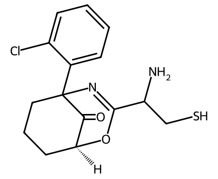 NC(CS)C1=NC2(c3ccccc3Cl)CCC[C@H](O1)C2=O